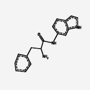 NC(Cc1ccccc1)C(=O)Nc1ccc2cc[nH]c2c1